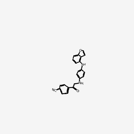 N#Cc1ccc(C(=O)CNc2ccc(Nc3cccc4occc34)cc2)cc1